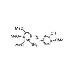 COc1ccc(/C=C/c2cc(OC)c(OC)c(OC)c2N)cc1O